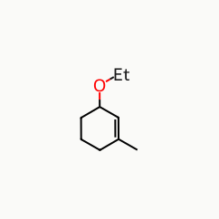 CCOC1C=C(C)CCC1